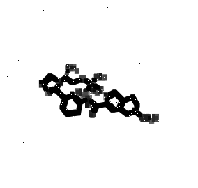 C[C@H](CO[Si](C)(C)C(C)(C)C)n1cnnc1-c1cccc(NC(=O)c2cc3c(cn2)CCN(C(=O)O)C3)n1